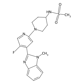 Cn1c(-c2cc(N3CCC(NS(C)(=O)=O)CC3)ncc2F)nc2ccccc21